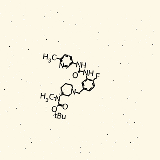 Cc1ccc(NC(=O)Nc2cc(CN3CCC[C@H](N(C)C(=O)OC(C)(C)C)C3)ccc2F)cn1